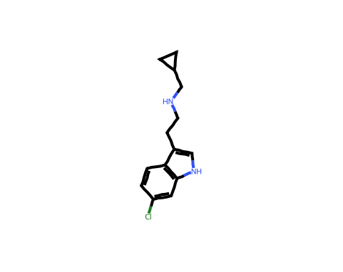 Clc1ccc2c(CCNCC3CC3)c[nH]c2c1